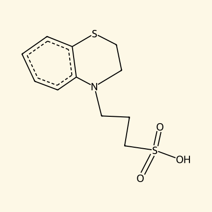 O=S(=O)(O)CCCN1CCSc2ccccc21